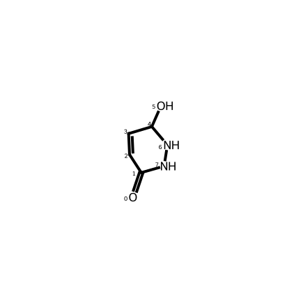 O=C1C=CC(O)NN1